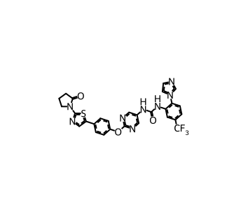 O=C(Nc1cnc(Oc2ccc(-c3cnc(N4CCCC4=O)s3)cc2)nc1)Nc1cc(C(F)(F)F)ccc1-n1ccnc1